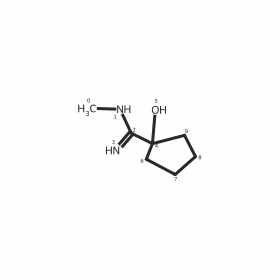 CNC(=N)C1(O)CCCC1